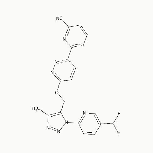 Cc1nnn(-c2ccc(C(F)F)cn2)c1COc1ccc(-c2cccc(C#N)n2)nn1